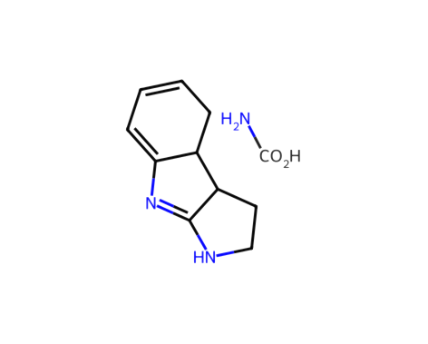 C1=CCC2C(=C1)N=C1NCCC12.NC(=O)O